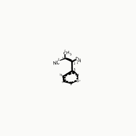 C/C(C#N)=C(\C#N)c1cbccc1